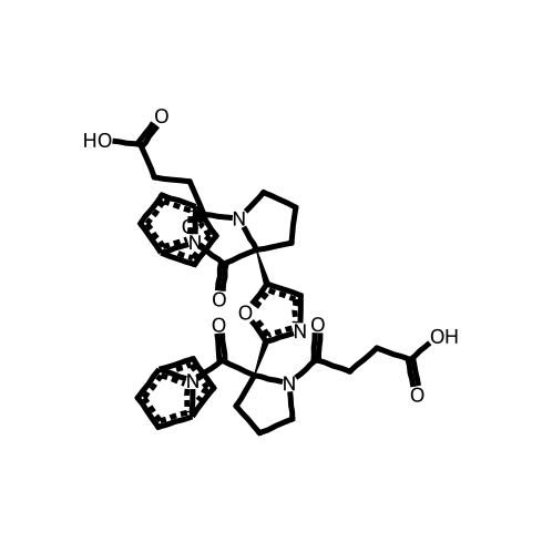 O=C(O)CCC(=O)N1CCC[C@@]1(C(=O)n1c2ccc1cc2)c1cnc([C@]2(C(=O)n3c4ccc3cc4)CCCN2C(=O)CCC(=O)O)o1